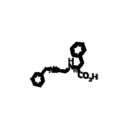 O=C(O)[C@H](Cc1ccccc1)NCC#[N+]Cc1ccccc1